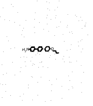 CCCCO[C@H]1CC[C@H](c2ccc(-c3ccc(N)cc3)cc2)CC1